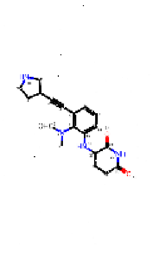 CN(C=O)c1c(C#CC2CCNC2)cccc1NC1CCC(=O)NC1=O